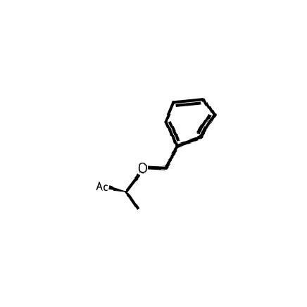 CC(=O)[C@H](C)OCc1ccccc1